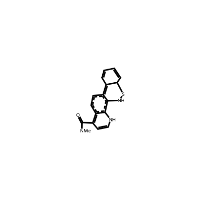 CNC(=O)C1=c2ccc3c(c2NC=C1)NSC1C=CC=CC=31